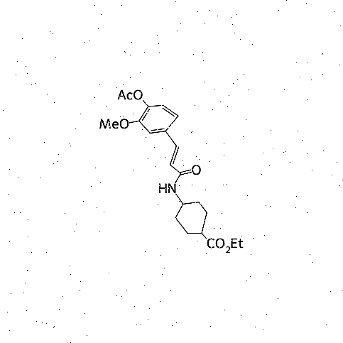 CCOC(=O)C1CCC(NC(=O)C=Cc2ccc(OC(C)=O)c(OC)c2)CC1